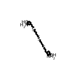 Nc1cc(CCCSCCCCCCSSCCCCCCSCCCc2ccc(O)c(N)c2)ccc1O